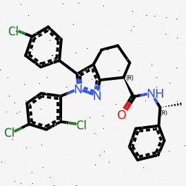 C[C@@H](NC(=O)[C@@H]1CCCc2c1nn(-c1ccc(Cl)cc1Cl)c2-c1ccc(Cl)cc1)c1ccccc1